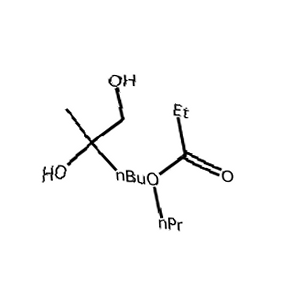 CCCCC(C)(O)CO.CCCOC(=O)CC